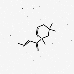 CC=CC(=O)C1(C)C=CCC(C)(C)C1